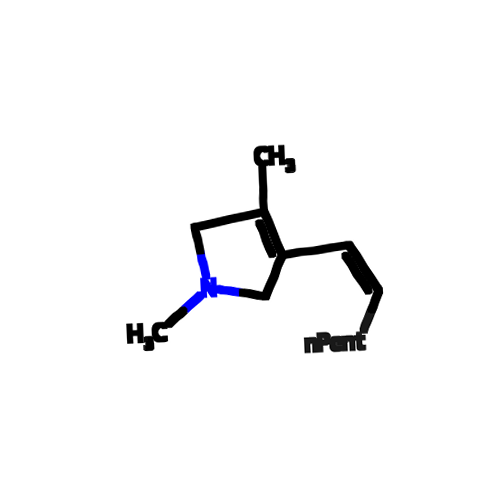 CCCCC/C=C\C1=C(C)CN(C)C1